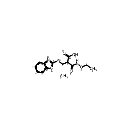 CCONC(=O)C(CSc1nc2ccccc2s1)C(=O)O.[AlH3]